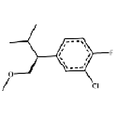 COC[C@H](c1ccc(F)c(Cl)c1)C(C)C